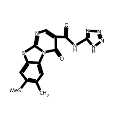 CSc1cc2sc3ncc(C(=O)Nc4nnn[nH]4)c(=O)n3c2cc1C